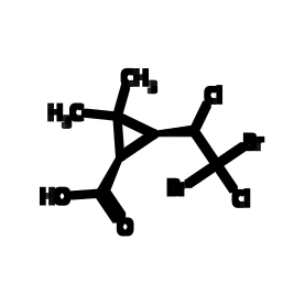 CC1(C)[C@H](C(=O)O)[C@@H]1C(Cl)C(Cl)(Br)Br